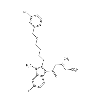 C[C@H](CC(=O)O)CC(=O)c1c(CCCCOCc2cccc(C#N)c2)n(C)c2cc(F)ccc12